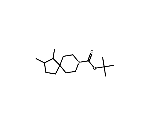 CC1CCC2(CCN(C(=O)OC(C)(C)C)CC2)C1C